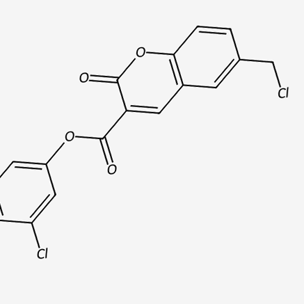 O=C(Oc1cccc(Cl)c1)c1cc2cc(CCl)ccc2oc1=O